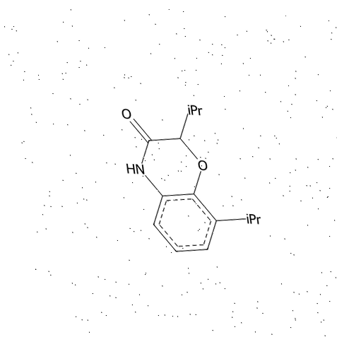 CC(C)c1cccc2c1OC(C(C)C)C(=O)N2